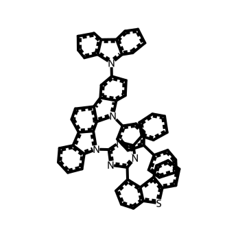 c1ccc(-c2ccc(-n3c4ccc(-n5c6ccccc6c6ccccc65)cc4c4ccc5c6ccccc6n(-c6nc(-c7ccccc7)nc(-c7cccc8sc9ccccc9c78)n6)c5c43)cc2)cc1